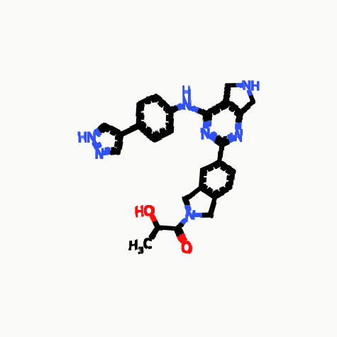 CC(O)C(=O)N1Cc2ccc(-c3nc4c(c(Nc5ccc(-c6cn[nH]c6)cc5)n3)CNC4)cc2C1